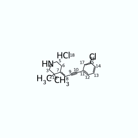 CC1(C)CNCC/C1=C\C#Cc1cccc(Cl)c1.Cl